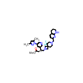 COC(=O)C[C@H](CN1CC2(CCN(Cc3ccc4c(n3)NCCC4)CC2(F)F)C1)c1cncc(-n2nc(C)cc2C)c1